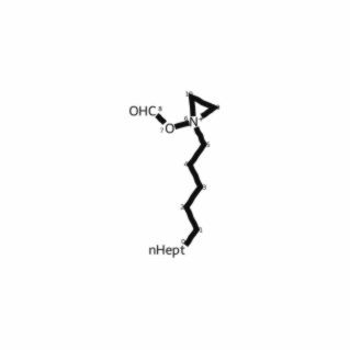 CCCCCCCCCCCC[N+]1(OC=O)CC1